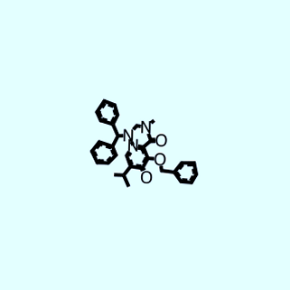 CC(C)c1cn2c(c(OCc3ccccc3)c1=O)C(=O)N(C)CN2C(c1ccccc1)c1ccccc1